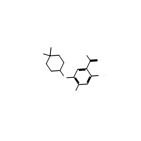 COc1cc(F)c(OC2CCC(C)(C(=O)O)CC2)cc1C(N)=O